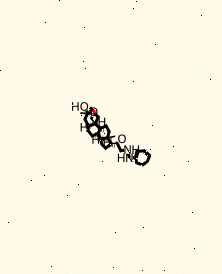 COC[C@]12CC[C@@](C)(O)C[C@@H]1CC[C@H]1[C@@H]3CC[C@H](C(=O)CNNC4=CC=CCCC4)[C@@]3(C)CC[C@@H]12